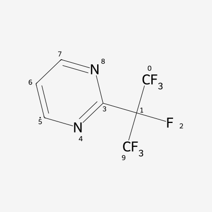 FC(F)(F)C(F)(c1n[c]ccn1)C(F)(F)F